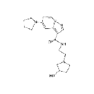 O=C(NCCN1CCC(O)C1)c1cnn2ccc(N3CCCC3)cc12